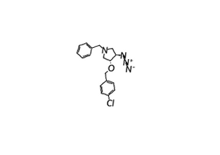 [N-]=[N+]=N[C@@H]1CN(Cc2ccccc2)C[C@H]1OCc1ccc(Cl)cc1